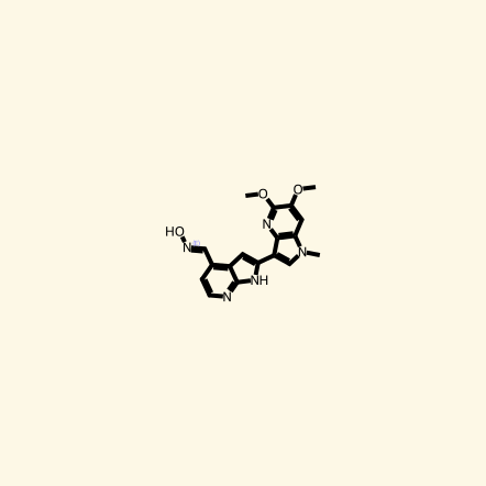 COc1cc2c(nc1OC)c(-c1cc3c(/C=N/O)ccnc3[nH]1)cn2C